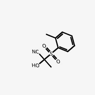 Cc1ccccc1S(=O)(=O)C(C)(O)C#N